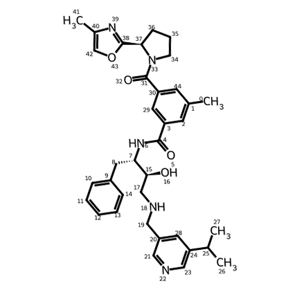 Cc1cc(C(=O)N[C@@H](Cc2ccccc2)[C@@H](O)CNCc2cncc(C(C)C)c2)cc(C(=O)N2CCC[C@@H]2c2nc(C)co2)c1